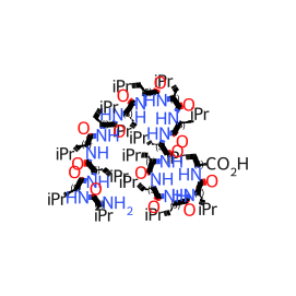 CC(C)C[C@H](NC(=O)[C@H](CC(C)C)NC(=O)[C@H](CC(C)C)NC(=O)[C@H](CC(C)C)NC(=O)[C@H](CC(C)C)NC(=O)[C@H](CC(C)C)NC(=O)[C@H](CC(C)C)NC(=O)[C@H](CC(C)C)NC(=O)[C@H](CC(C)C)NC(=O)[C@H](CC(C)C)NC(=O)[C@H](CC(C)C)NC(=O)[C@H](CC(C)C)NC(=O)[C@H](CC(C)C)NC(=O)[C@H](CC(C)C)NC(=O)[C@@H](N)C(C)C)C(=O)O